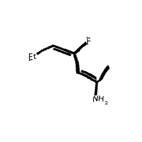 CC/C=C(F)\C=C(/C)N